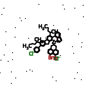 CCCC(C)c1cc2c(cc1-c1ccccc1)Cc1c-2cc(C(C)CCC)c(-c2ccccc2)[c]1[Zr+2]([C]1=CC=CC1)=[C](Cc1ccc(Br)cc1)Cc1ccc(Br)cc1.[Cl-].[Cl-]